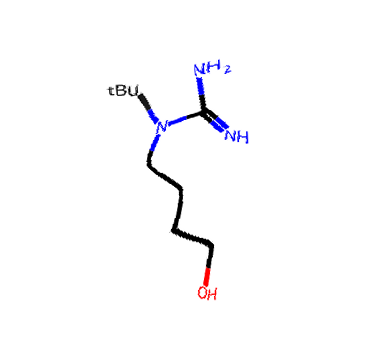 CC(C)(C)N(CCCCO)C(=N)N